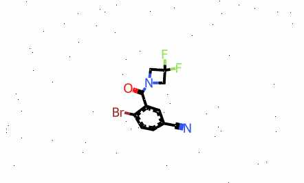 N#Cc1ccc(Br)c(C(=O)N2CC(F)(F)C2)c1